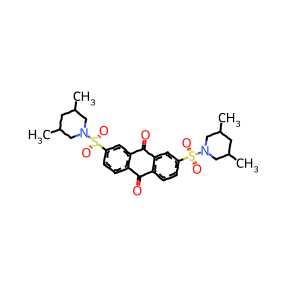 CC1CC(C)CN(S(=O)(=O)c2ccc3c(c2)C(=O)c2cc(S(=O)(=O)N4CC(C)CC(C)C4)ccc2C3=O)C1